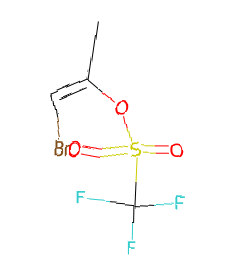 CC(=CBr)OS(=O)(=O)C(F)(F)F